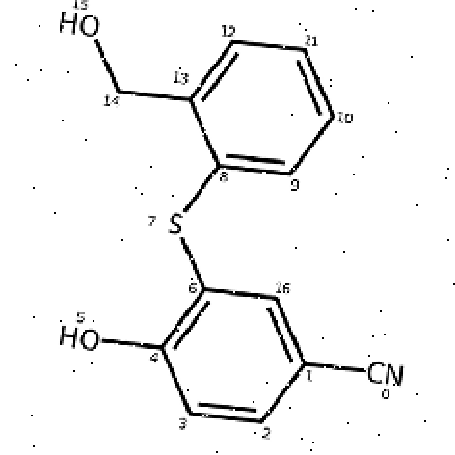 N#Cc1ccc(O)c(Sc2ccccc2CO)c1